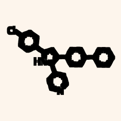 Clc1ccc(-c2cc(-c3ccc(-c4ccccc4)cc3)c(-c3ccncc3)[nH]2)cc1